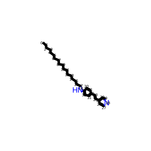 CCCCCCCCCCCCCCCCCCNc1ccc(C=Cc2ccncc2)cc1